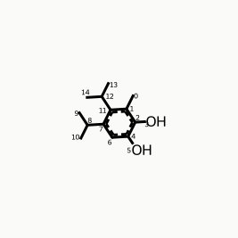 Cc1c(O)c(O)cc(C(C)C)c1C(C)C